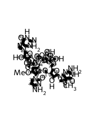 COC[C@H]1[C@@H](O)[C@H](n2c[n+](C)c3c(=O)[nH]c(N)nc32)O[C@@H]1COP(=O)(O)OP(=O)(O)OP(=O)(O)OC[C@H]1O[C@@H](n2ccc(N)nc2=O)[C@H](OC)[C@@H]1P(=O)([O-])OC[C@H]1O[C@@H](n2cnc3c(=O)[nH]c(N)nc32)[C@H](O)[C@@H]1O